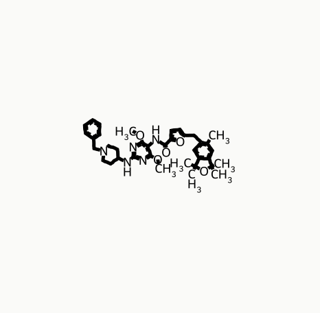 COc1nc(NC2CCN(Cc3ccccc3)CC2)nc(OC)c1NC(=O)c1ccc(Cc2cc3c(cc2C)C(C)(C)OC3(C)C)o1